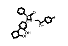 O=C1[C@H](CC[C@H](O)c2ccc(F)cc2)[C@@H](c2ccc(-c3ccccc3O)c(O)c2)N1c1ccccc1